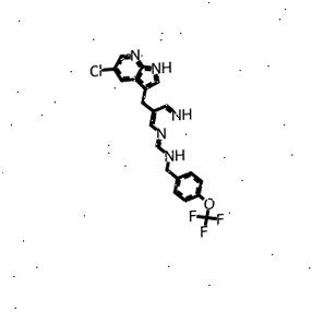 N=C/C(=C\N=C\NCc1ccc(OC(F)(F)F)cc1)Cc1c[nH]c2ncc(Cl)cc12